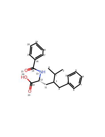 CC(C)C(Cc1ccccc1)C[C@@H](NC(=O)c1ccccc1)C(=O)O